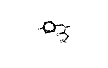 CN(Cc1ccc(F)cc1)C(=O)CC(C)(C)C